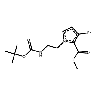 COC(=O)c1c(Br)ccn1CCNC(=O)OC(C)(C)C